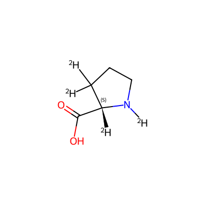 [2H]N1CCC([2H])([2H])[C@@]1([2H])C(=O)O